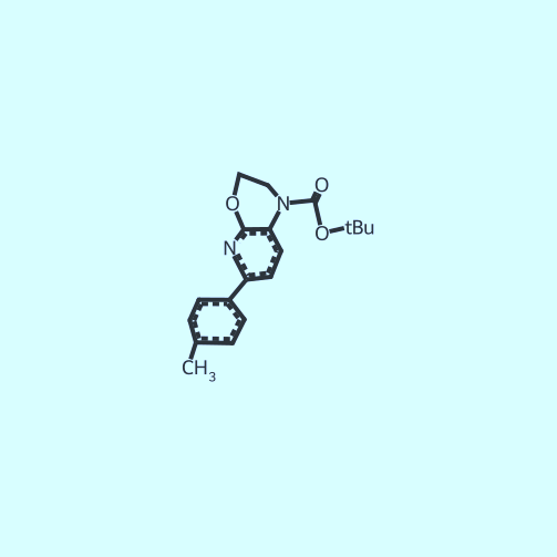 Cc1ccc(-c2ccc3c(n2)OCCN3C(=O)OC(C)(C)C)cc1